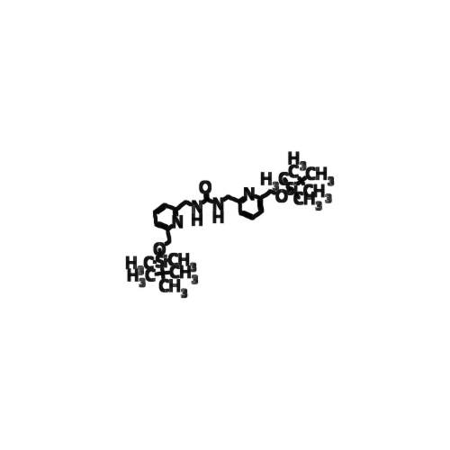 CC(C)(C)[Si](C)(C)OCc1cccc(CNC(=O)NCc2cccc(CO[Si](C)(C)C(C)(C)C)n2)n1